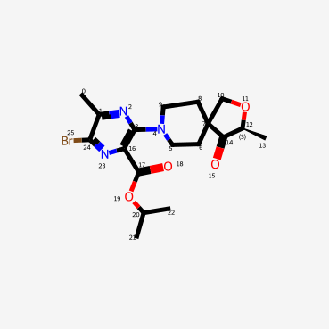 Cc1nc(N2CCC3(CC2)CO[C@@H](C)C3=O)c(C(=O)OC(C)C)nc1Br